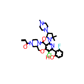 C=CC(=O)N1CCN2C(=O)c3c(N4CC(N5CCN(C)CC5)CC4(C)C)nc(-c4c(O)cccc4F)c(Cl)c3OCC2C1